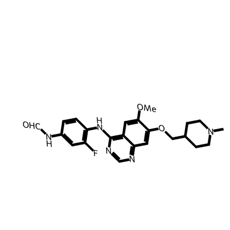 COc1cc2c(Nc3ccc(NC=O)cc3F)ncnc2cc1OCC1CCN(C)CC1